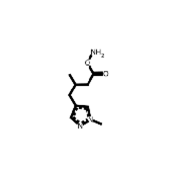 CC(CC(=O)ON)Cc1cnn(C)c1